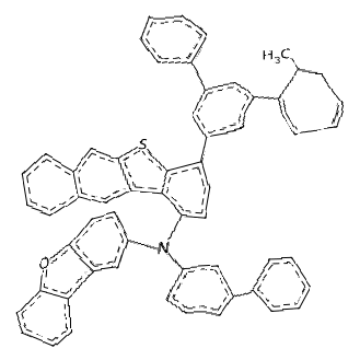 CC1CC=CC=C1c1cc(-c2ccccc2)cc(-c2ccc(N(c3cccc(-c4ccccc4)c3)c3ccc4oc5ccccc5c4c3)c3c2sc2cc4ccccc4cc23)c1